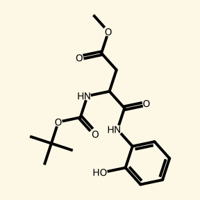 COC(=O)CC(NC(=O)OC(C)(C)C)C(=O)Nc1ccccc1O